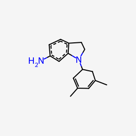 CC1=CC(N2CCc3ccc(N)cc32)CC(C)=C1